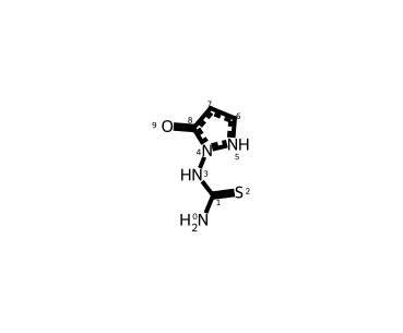 NC(=S)Nn1[nH]ccc1=O